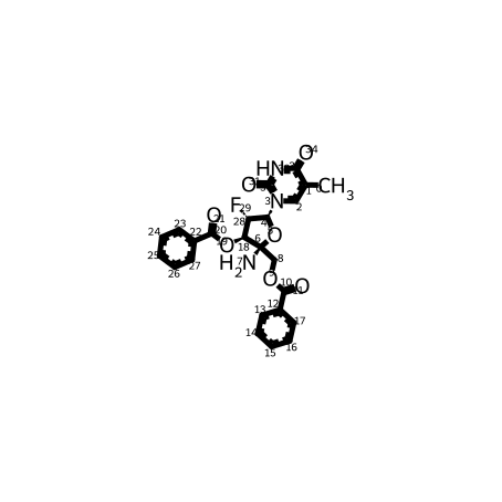 Cc1cn([C@@H]2O[C@](N)(COC(=O)c3ccccc3)[C@@H](OC(=O)c3ccccc3)[C@@H]2F)c(=O)[nH]c1=O